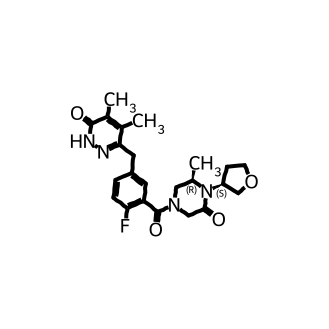 Cc1c(Cc2ccc(F)c(C(=O)N3CC(=O)N([C@H]4CCOC4)[C@H](C)C3)c2)n[nH]c(=O)c1C